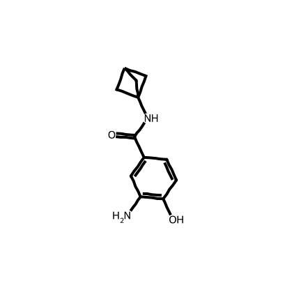 Nc1cc(C(=O)NC23CC(C2)C3)ccc1O